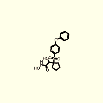 O=C(NO)C(O)C1(S(=O)(=O)c2ccc(Oc3ccccc3)cc2)CCCC1